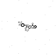 Cc1cc(NC(=O)C2CN(C(=O)c3ccc[nH]3)CC2C)ccc1F